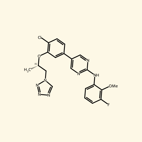 COc1c(F)cccc1Nc1ncc(-c2ccc(Cl)c(O[C@@H](C)Cn3cnnn3)c2)cn1